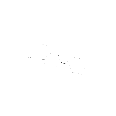 COC(=O)C(CO)NC(=O)[C@H]1COCCN1